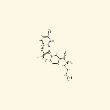 CN(CC1CCC(C(=O)N(C)CCCO)CC1)C(=O)Oc1ccc(Cl)cc1